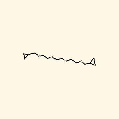 C(COCCOCC1CO1)OCCOCC1CO1